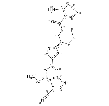 COc1cc(-c2cnn([C@@H]3CCCN(C(=O)c4ccccc4N)C3)c2)cn2ncc(C#N)c12